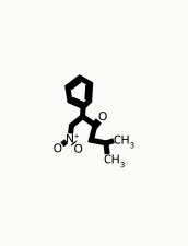 CC(C)CC(=O)C(C[N+](=O)[O-])c1ccccc1